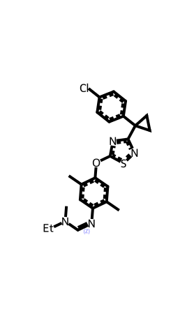 CCN(C)/C=N\c1cc(C)c(Oc2nc(C3(c4ccc(Cl)cc4)CC3)ns2)cc1C